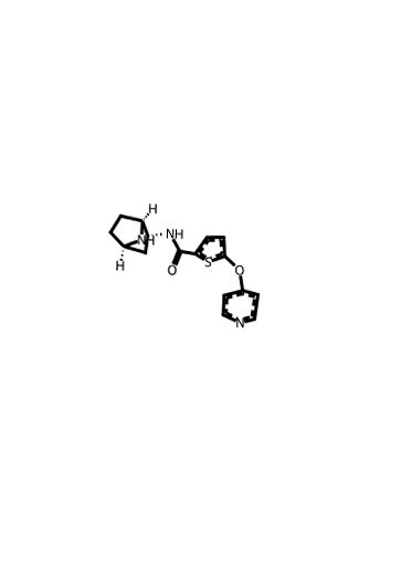 O=C(N[C@@H]1C[C@H]2CC[C@@H]1N2)c1ccc(Oc2ccncc2)s1